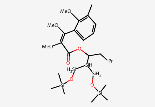 COC(C(=O)OC(CC(C)C)[SiH]([SiH2]O[Si](C)(C)C)[SiH2]O[Si](C)(C)C)=C(OC)c1cccc(C)c1OC